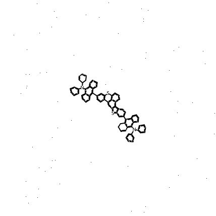 C1=CCC(N(c2ccccc2)c2c3ccccc3c(-c3ccc4c(c3)Sc3cccc5c3c-4cc3sc4cc(-c6c7c(c(N(c8ccccc8)c8ccccc8)c8ccccc68)C=CCC7)ccc4c35)c3ccccc23)C=C1